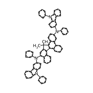 CC1(C)c2cc(N(c3ccccc3)c3ccc4c(c3)c3ccccc3n4-c3ccccc3)c3ccccc3c2-c2c1c1ccc(N(c3ccccc3)c3ccc4c(c3)c3ccccc3n4-c3ccccc3)cc1c1ccccc21